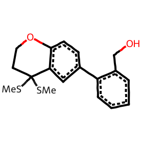 CSC1(SC)CCOc2ccc(-c3ccccc3CO)cc21